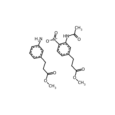 COC(=O)CCc1ccc([N+](=O)[O-])c(NC(C)=O)c1.COC(=O)CCc1cccc(N)c1